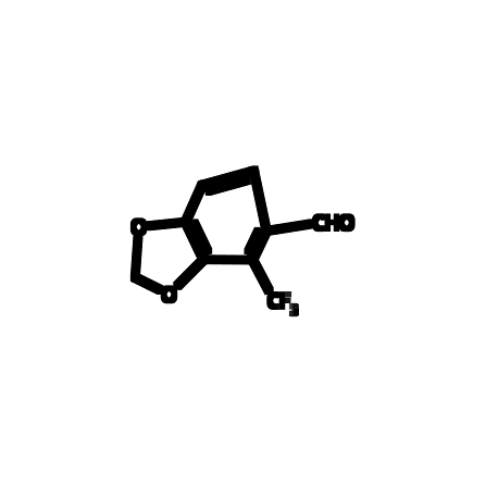 O=Cc1ccc2c(c1C(F)(F)F)OCO2